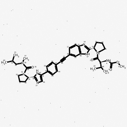 COC(=O)N[C@H](C(=O)N1CCC[C@H]1c1nc2ccc(C#Cc3ccc(-c4cnc([C@@H]5CCCN5C(=O)N(C)CC(C)C)[nH]4)cc3)cc2[nH]1)C(C)C